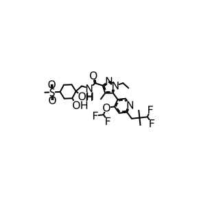 CCn1nc(C(=O)NCC2(O)CCC(S(C)(=O)=O)CC2O)c(C)c1-c1cnc(CC(C)(C)C(F)F)cc1OC(F)F